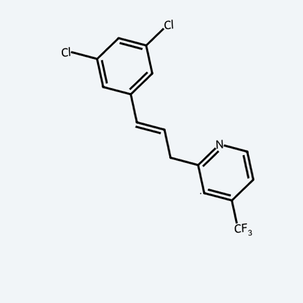 FC(F)(F)c1[c]c(CC=Cc2cc(Cl)cc(Cl)c2)ncc1